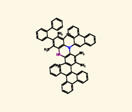 Bc1c(B)c2c(c(B)c1-c1ccccc1-c1ccccc1)Pc1c(B)c(-c3c(-c4ccccc4)c4ccccc4c4ccccc34)c(B)c(B)c1N2c1cc2ccccc2c2ccccc12